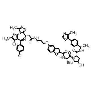 Cc1ncsc1-c1ccc([C@H](C)NC(=O)[C@@H]2C[C@@H](O)CN2C(=O)[C@@H](NC(=O)C2Cc3cc(OCCCNC(=O)C[C@@H]4N=C(c5ccc(Cl)cc5)c5c(sc(C)c5C)-n5c(C)nnc54)ccc3O2)C(C)(C)C)cc1